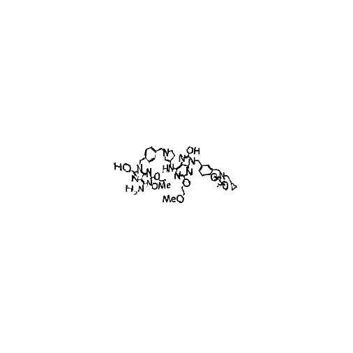 COCCOc1nc(N)c2nc(O)n(Cc3ccc(CN4CCC(Nc5nc(OCCOC)nc6c5nc(O)n6Cc5cccc(CN(CC6CC6)S(C)(=O)=O)c5)C4)cc3)c2n1